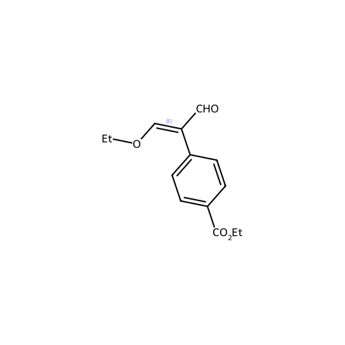 CCO/C=C(/C=O)c1ccc(C(=O)OCC)cc1